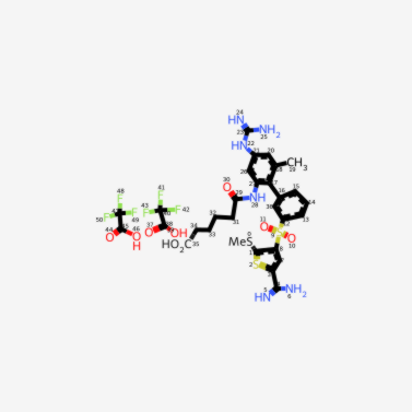 CSc1sc(C(=N)N)cc1S(=O)(=O)c1cccc(-c2c(C)cc(NC(=N)N)cc2NC(=O)CCCCC(=O)O)c1.O=C(O)C(F)(F)F.O=C(O)C(F)(F)F